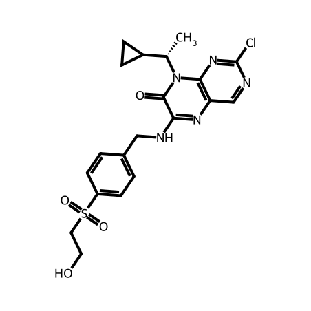 C[C@@H](C1CC1)n1c(=O)c(NCc2ccc(S(=O)(=O)CCO)cc2)nc2cnc(Cl)nc21